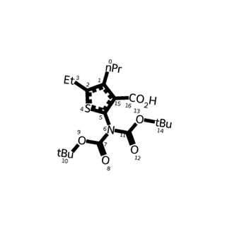 CCCc1c(CC)sc(N(C(=O)OC(C)(C)C)C(=O)OC(C)(C)C)c1C(=O)O